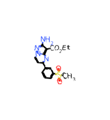 CCOC(=O)c1c(N)nn2ccc(-c3cccc(S(C)(=O)=O)c3)nc12